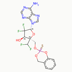 Nc1ncnc2c1ncn2[C@@H]1O[C@@](COP2(=S)OCc3ccccc3O2)(C(F)F)[C@@H](O)C1(F)F